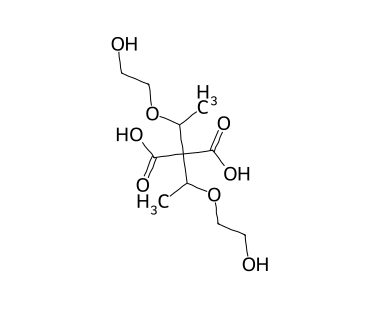 CC(OCCO)C(C(=O)O)(C(=O)O)C(C)OCCO